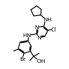 Cc1cc(Nc2ncc(Cl)c(NC3CCCC3)n2)cc(C(C)(C)O)c1Br